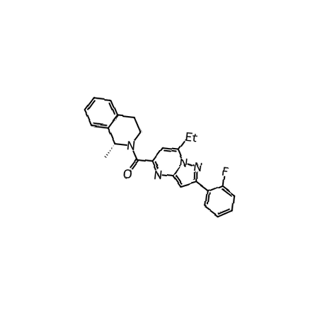 CCc1cc(C(=O)N2CCc3ccccc3[C@H]2C)nc2cc(-c3ccccc3F)nn12